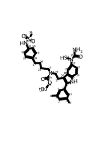 Cc1cc(C)cc(-c2[nH]c3ccc(N(S)C(N)=O)cc3c2CCN(CCCCc2ccc(NS(C)(=O)=O)cc2)C(=O)OC(C)(C)C)c1